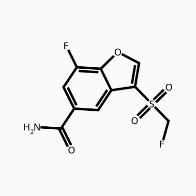 NC(=O)c1cc(F)c2occ(S(=O)(=O)CF)c2c1